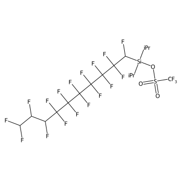 CC(C)[Si](OS(=O)(=O)C(F)(F)F)(C(C)C)C(F)C(F)(F)C(F)(F)C(F)(F)C(F)(F)C(F)(F)C(F)(F)C(F)C(F)C(F)F